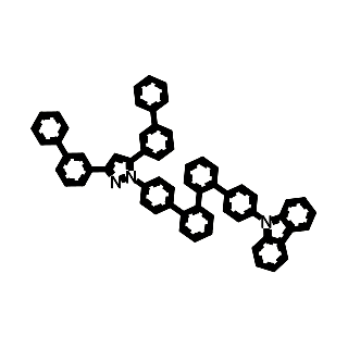 c1ccc(-c2cccc(-c3cc(-c4cccc(-c5ccccc5)c4)n(-c4ccc(-c5ccccc5-c5ccccc5-c5ccc(-n6c7ccccc7c7ccccc76)cc5)cc4)n3)c2)cc1